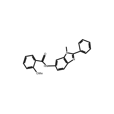 COc1ccccc1C(=O)Nc1ccc2nc(-c3ccccc3)n(C)c2c1